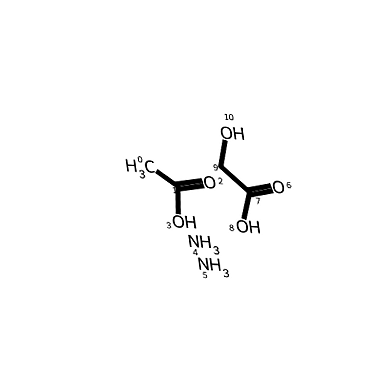 CC(=O)O.N.N.O=C(O)CO